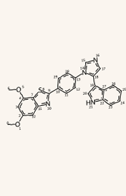 COc1cc(OC)c2sc(-c3ccc(-n4cncc4-c4c[nH]c5ccccc45)cc3)nc2c1